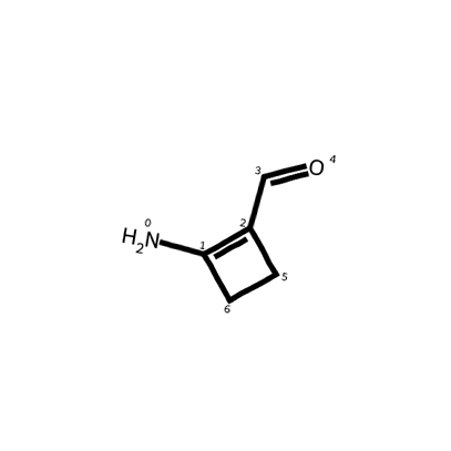 NC1=C(C=O)CC1